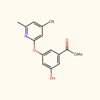 COC(=O)c1cc(O)cc(Oc2cc(C#N)cc(C)n2)c1